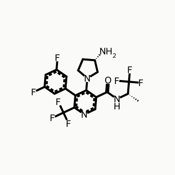 C[C@H](NC(=O)c1cnc(C(F)(F)F)c(-c2cc(F)cc(F)c2)c1N1CC[C@H](N)C1)C(F)(F)F